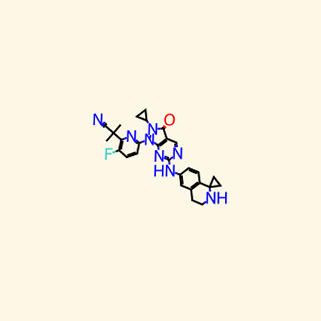 CC(C)(C#N)c1nc(-n2c3nc(Nc4ccc5c(c4)CCNC54CC4)ncc3c(=O)n2C2CC2)ccc1F